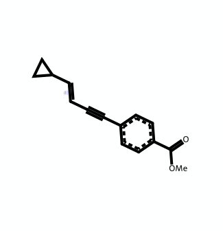 COC(=O)c1ccc(C#C/C=C/C2CC2)cc1